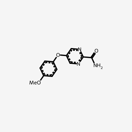 COc1ccc(Oc2cnc(C(N)=O)nc2)cc1